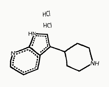 Cl.Cl.c1cnc2[nH]cc(C3CCNCC3)c2c1